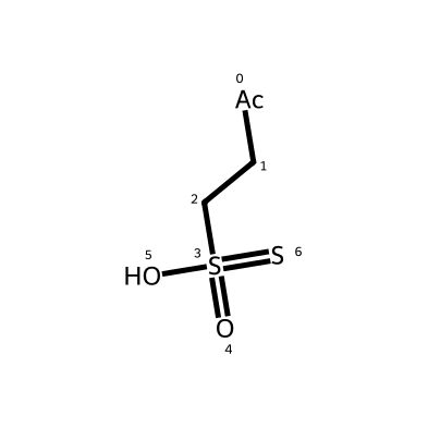 CC(=O)CCS(=O)(O)=S